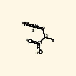 CC(C=[N+]=[N-])[SH](=O)=O